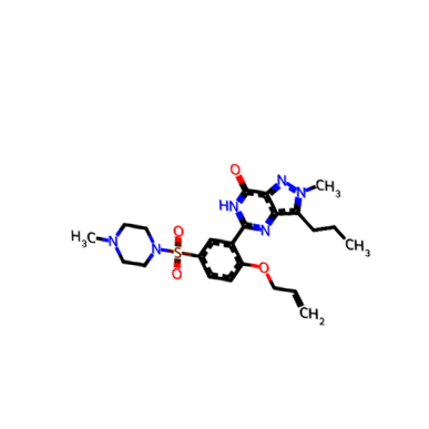 C=CCOc1ccc(S(=O)(=O)N2CCN(C)CC2)cc1-c1nc2c(CCC)n(C)nc2c(=O)[nH]1